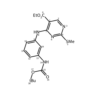 CCOC(=O)c1cnc(SC)nc1Nc1cccc(NC(=O)OC(C)(C)C)c1